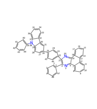 c1ccc(-c2nc3c4ccccc4c4ccccc4c3nc2-c2ccc(-c3ccc4c(c3)c3ccccc3n4-c3ccccc3)cc2)cc1